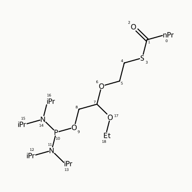 CCCC(=O)SCCOC(COP(N(C(C)C)C(C)C)N(C(C)C)C(C)C)OCC